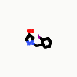 Oc1cnn(Cc2ccccc2I)c1